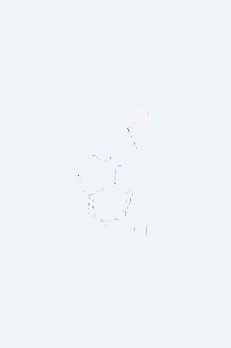 O=CCN1CCc2ccc(Cl)cc21